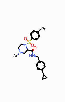 CC(=O)N1CCN(S(=O)(=O)c2ccc(C(C)C)cc2)C(C(=O)NCc2ccc(C3CC3)cc2)C1